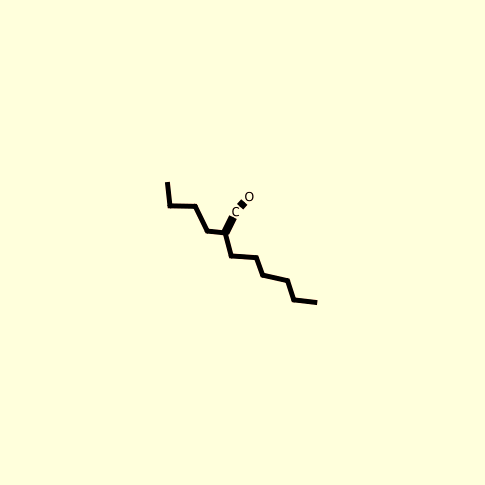 CCCCCCC(=C=O)CCCC